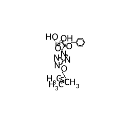 C[Si](C)(C)CCOc1ncnc2c1ncn2C1O[C@H](CO)[C@@H](O)[C@H]1OCc1ccccc1